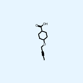 CC#CCOC1CCC(C(=O)O)CC1